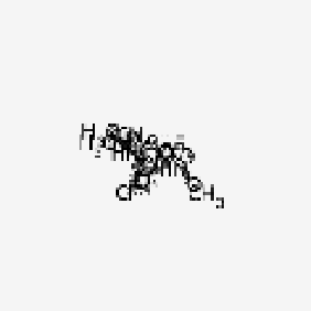 COCCNC(=O)c1cc2c(cc1F)SC[C@H](NC(=O)OC(C)(C)C)C(=O)N2Cc1ccc(Cl)cc1